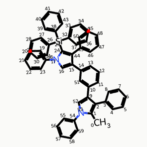 Cc1c(-c2ccccc2)c(-c2cccc(-c3cn(-c4ccccc4)c([Si](c4ccccc4)(c4ccccc4)c4ccccc4)c3-c3ccccc3)c2)cn1-c1ccccc1